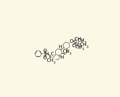 C[C@@H](CS(=O)(=O)c1ccccc1)[C@H]1CC[C@H]2C3=CC=C4C[C@@H](O[Si](C)(C)C(C)(C)C)CC[C@]4(C)[C@H]3CC[C@]12C